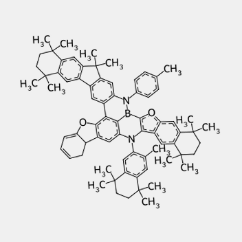 Cc1ccc(N2B3c4oc5cc6c(cc5c4N(c4cc5c(cc4C)C(C)(C)CCC5(C)C)c4cc5c(c(c43)-c3cc4c(cc32)C(C)(C)c2cc3c(cc2-4)C(C)(C)CCC3(C)C)OC2=CC=CCC25)C(C)(C)CCC6(C)C)cc1